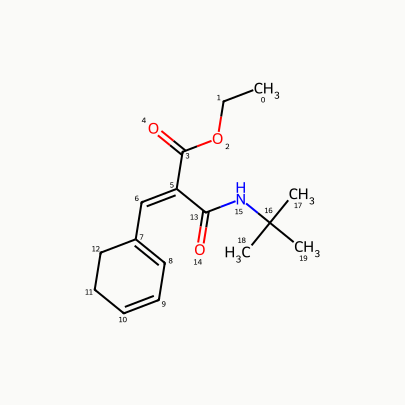 CCOC(=O)/C(=C/C1=CC=CCC1)C(=O)NC(C)(C)C